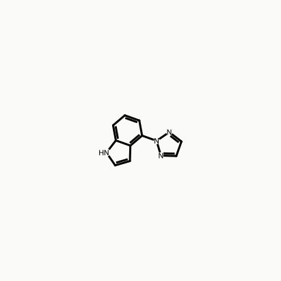 c1cc(-n2nccn2)c2cc[nH]c2c1